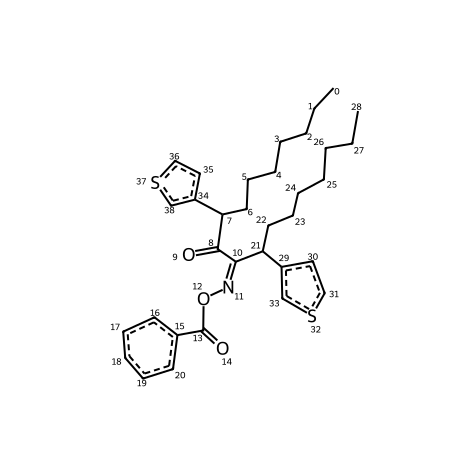 CCCCCCCC(C(=O)C(=NOC(=O)c1ccccc1)C(CCCCCCC)c1ccsc1)c1ccsc1